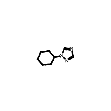 [CH]1CCCCC1n1cncn1